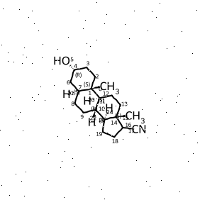 C[C@]12CC[C@@H](O)C[C@@H]1CC[C@@H]1[C@@H]2CC[C@]2(C)C(C#N)CC[C@@H]12